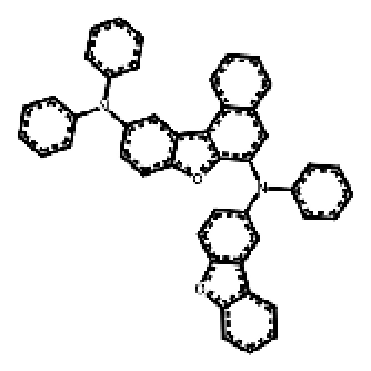 c1ccc(N(c2ccccc2)c2ccc3oc4c(N(c5ccccc5)c5ccc6oc7ccccc7c6c5)cc5ccccc5c4c3c2)cc1